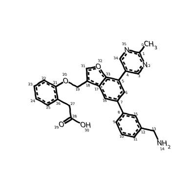 Cc1ncc(-c2cc(-c3cccc(CN)c3)cc3c(COc4ccccc4CC(=O)O)coc23)cn1